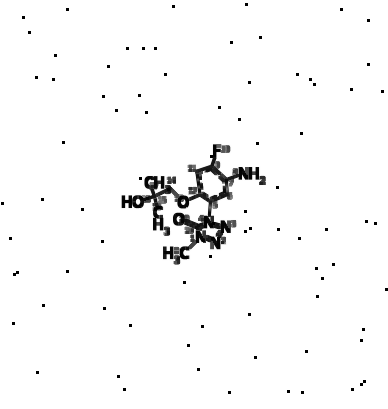 Cn1nnn(-c2cc(N)c(F)cc2OCC(C)(C)O)c1=O